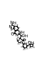 Nc1nsc2c1ccc1[nH]c([C@H](O)C3OCCN(c4cccc(C5(O)CCC5)n4)C3=O)nc(=O)c12